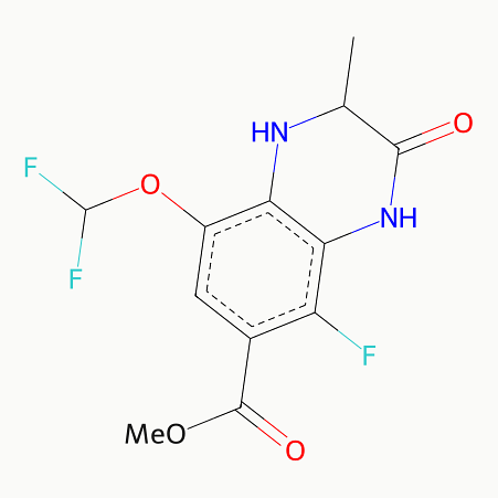 COC(=O)c1cc(OC(F)F)c2c(c1F)NC(=O)C(C)N2